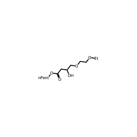 CCCCCOC(=O)CC(O)COCCOCC